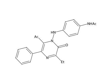 CCc1nc(-c2ccccc2)c(C(C)=O)n(Nc2ccc(NC(C)=O)cc2)c1=O